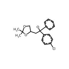 CC1(C)OCC(CC([O])(c2ccccc2)c2ccc(Cl)cc2)O1